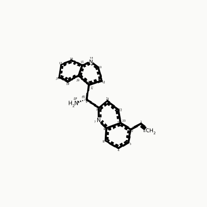 C=Cc1cccc2nc([C@H](N)c3ccnc4ccccc34)ccc12